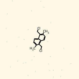 Cc1ccc2c(CCl)c(C)ccc2c1CCl